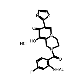 CC(=O)Nc1cc(F)ccc1C(=O)N1CCn2cc(-c3nccs3)c(=O)c(O)c2C1.Cl